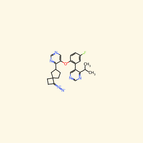 CC(C)c1ncncc1-c1cc(F)ccc1Oc1cncnc1C1CCC2(CCC2=[N+]=[N-])C1